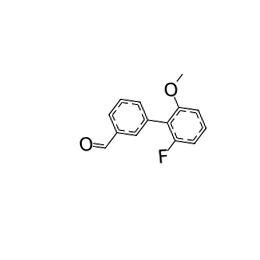 COc1cccc(F)c1-c1cccc(C=O)c1